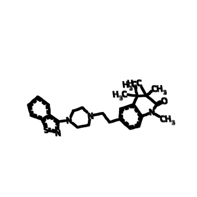 CN1C(=O)C(C)(C)C(C)(C)c2cc(CCN3CCN(c4nsc5ccccc45)CC3)ccc21